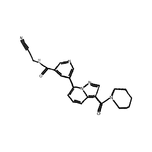 N#CCNC(=O)c1cncc(-c2cccc3c(C(=O)N4CCCCC4)cnn23)c1